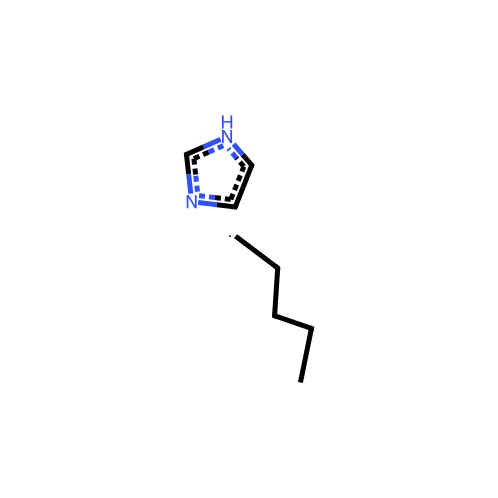 [CH2]CCCC.c1c[nH]cn1